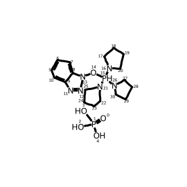 O=P(O)(O)O.c1ccc2c(c1)nnn2O[PH](N1CCCC1)(N1CCCC1)N1CCCC1